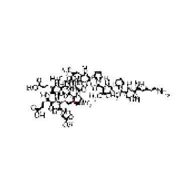 CC(C)C[C@H](NC(=O)[C@@H]1CCCN1C(=O)[C@@H](NC(=O)[C@@H]1CCCN1C(=O)[C@H](CO)NC(=O)[C@@H](N)CCCCN)C(C)C)C(=O)N[C@@H](CO)C(=O)N1CCC[C@H]1C(=O)N[C@H](C(=O)N[C@@H](CCC(=O)O)C(=O)N[C@@H](CCC(=O)O)C(=O)N[C@@H](CCCCN)C(=O)NCC(=O)O)C(C)C